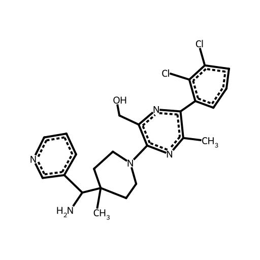 Cc1nc(N2CCC(C)(C(N)c3cccnc3)CC2)c(CO)nc1-c1cccc(Cl)c1Cl